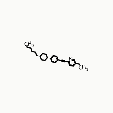 CCCCCC[C@H]1CC[C@H](c2ccc(C#Cc3ccc(CC)cn3)cc2)CC1